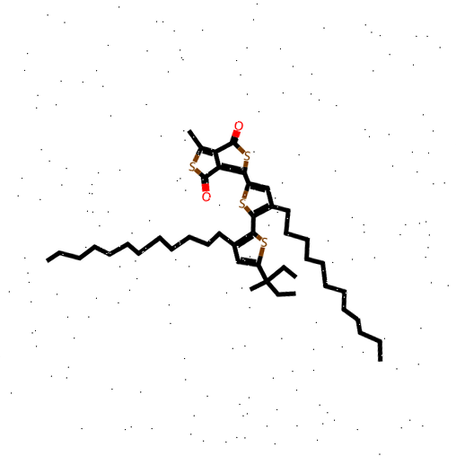 CCCCCCCCCCCCc1cc(C2=C3C(=O)SC(C)=C3C(=O)S2)sc1-c1sc(C(C)(CC)CC)cc1CCCCCCCCCCCC